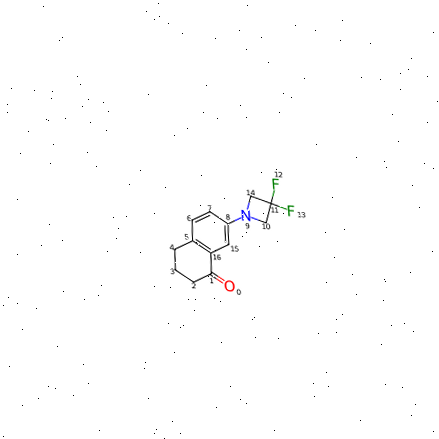 O=C1CCCc2ccc(N3CC(F)(F)C3)cc21